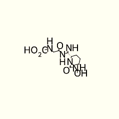 N=C(NC(=O)CNC(=O)O)[C@@H]1CC[C@@H]2CN1C(=O)N2O